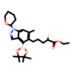 CCOC(=O)C(F)CCCc1c(C)cc2c(cnn2C2CCCCO2)c1B1OC(C)(C)C(C)(C)O1